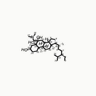 CC[C@H](CC[C@@H](C)[C@H]1CC[C@H]2[C@@H]3C[C@@](O)(CN(C)C)[C@@]4(O)C[C@@H](O)CC[C@]4(C)[C@H]3CC[C@]12C)C(C)C